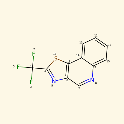 FC(F)(F)c1nc2cnc3ccccc3c2s1